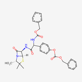 CC1(C)S[C@@H]2[C@H](NC(=O)C(NC(=O)OCc3ccccc3)c3ccc(OC(=O)OCc4ccccc4)cc3)C(=O)N2[C@H]1C(=O)O